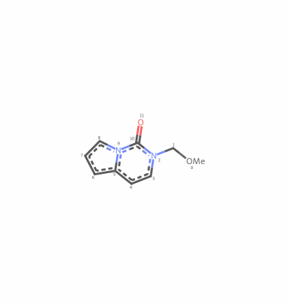 COCn1ccc2cccn2c1=O